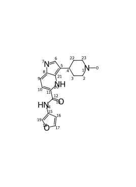 CN1CCC(c2cnc3ccc(C(=O)Nc4ccoc4)[nH]c2-3)CC1